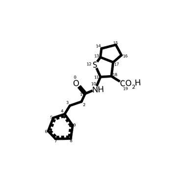 O=C(CCc1ccccc1)NC1SC2CCCC2C1C(=O)O